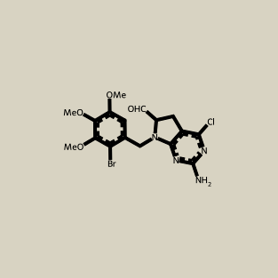 COc1cc(CN2c3nc(N)nc(Cl)c3CC2C=O)c(Br)c(OC)c1OC